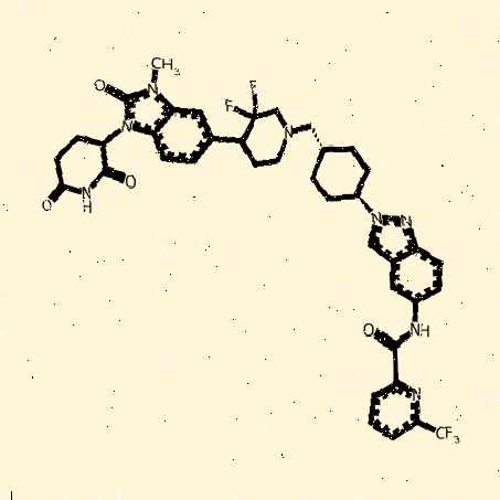 Cn1c(=O)n(C2CCC(=O)NC2=O)c2ccc(C3CCN(C[C@H]4CC[C@H](n5cc6cc(NC(=O)c7cccc(C(F)(F)F)n7)ccc6n5)CC4)CC3(F)F)cc21